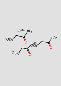 CCCC(=O)CC(=O)[O-].CCCC(=O)CC(=O)[O-].CCCC(=O)CC(=O)[O-].[Cr+3]